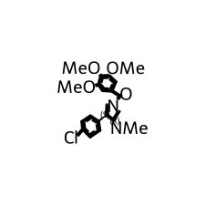 CN[C@H]1CN(C(=O)c2cc(OC)c(OC)c(OC)c2)C[C@@H]1c1ccc(Cl)cc1